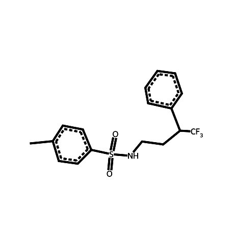 Cc1ccc(S(=O)(=O)NCCC(c2ccccc2)C(F)(F)F)cc1